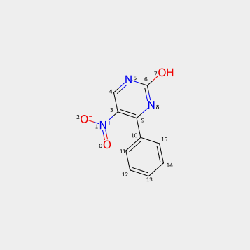 O=[N+]([O-])c1cnc(O)nc1-c1ccccc1